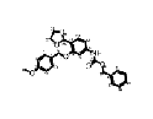 COc1ccc(COc2cc(NC(=O)OCc3ccccc3)ccc2C2OCCO2)cc1